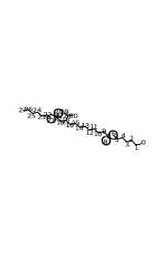 CCCCCCOC(=O)CCCCCCCCC(CC(=O)OCCCCCC)C(C)C